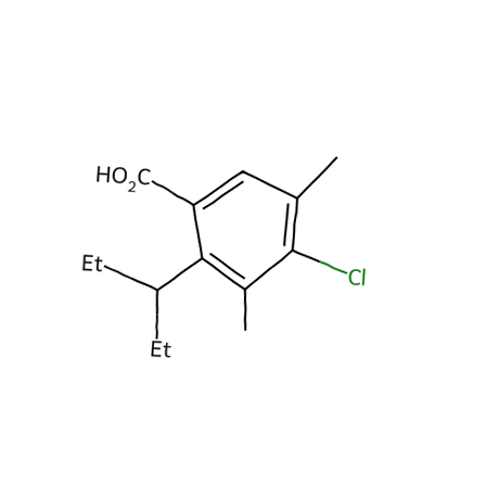 CCC(CC)c1c(C(=O)O)cc(C)c(Cl)c1C